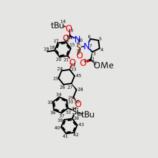 COC(=O)[C@@H]1CCCN1[S@](=O)(=NC(=O)OC(C)(C)C)c1ccc(C)cc1O[C@@H]1CCC[C@H](CCO[Si](c2ccccc2)(c2ccccc2)C(C)(C)C)C1